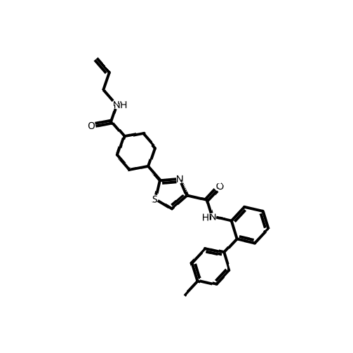 C=CCNC(=O)C1CCC(c2nc(C(=O)Nc3ccccc3-c3ccc(C)cc3)cs2)CC1